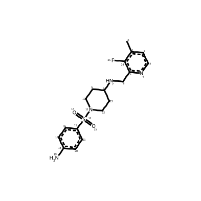 Cc1ccnc(CNC2CCN(S(=O)(=O)c3ccc(N)cc3)CC2)c1F